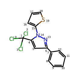 ClC(Cl)(Cl)c1cc(-c2ccccc2)nn1-c1cccs1